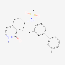 CCn1ccc2c(c1=O)[C@@H](Cc1cccc(-c3cccc(C)c3)c1)[C@@H](NS(C)(=O)=O)CC2